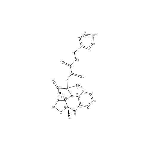 NC(CC(=O)C(=O)OCc1ccncc1)(C(=O)O)C1c2ccccc2N[C@@H]2CCC[C@H]12